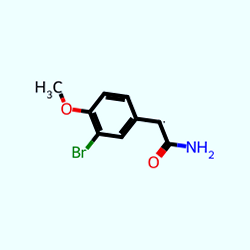 COc1ccc([CH]C(N)=O)cc1Br